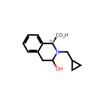 O=C(O)[C@@H]1c2ccccc2CC(O)N1CC1CC1